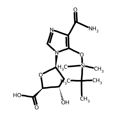 CC(C)(C)[Si](C)(C)Oc1c(C(N)=O)ncn1[C@H]1C[C@H](O)[C@@H](C(=O)O)O1